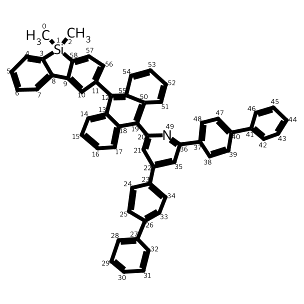 C[Si]1(C)c2ccccc2-c2cc(-c3c4ccccc4c(-c4cc(-c5ccc(-c6ccccc6)cc5)cc(-c5ccc(-c6ccccc6)cc5)n4)c4ccccc34)ccc21